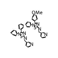 COc1ccc(-c2n/c(=N/Cc3cccnc3)sn2-c2ccccc2)cc1.c1ccc(-c2n/c(=N/Cc3cccnc3)sn2-c2ccccc2)cc1